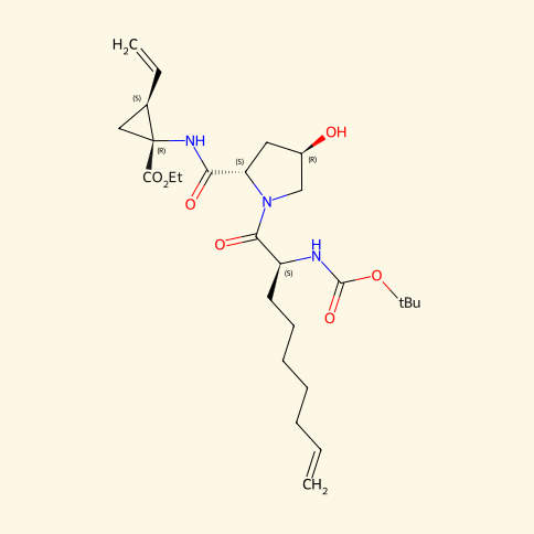 C=CCCCCC[C@H](NC(=O)OC(C)(C)C)C(=O)N1C[C@H](O)C[C@H]1C(=O)N[C@]1(C(=O)OCC)C[C@H]1C=C